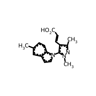 Cc1ccc2c(ccn2-c2c(C=CC(=O)O)c(C)nn2C)c1